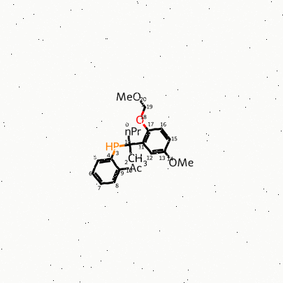 CCCC(C)(Pc1ccccc1C(C)=O)c1cc(OC)ccc1OCOC